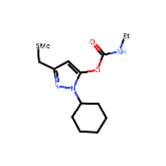 CCNC(=O)Oc1cc(CSC)nn1C1CCCCC1